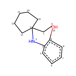 CCC1(Nc2ccccc2O)CCCCC1